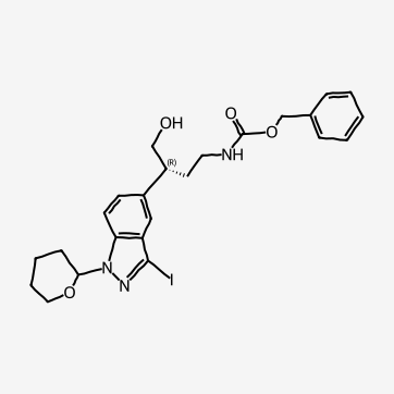 O=C(NCC[C@@H](CO)c1ccc2c(c1)c(I)nn2C1CCCCO1)OCc1ccccc1